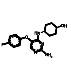 Nc1ncc(Oc2ccc(F)cc2)c(N[C@H]2CC[C@H](O)CC2)n1